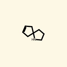 C1=CCC2(C1)CCCN2